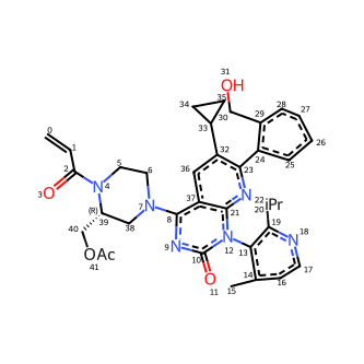 C=CC(=O)N1CCN(c2nc(=O)n(-c3c(C)ccnc3C(C)C)c3nc(-c4ccccc4CO)c(C4CC4)cc23)C[C@@H]1COC(C)=O